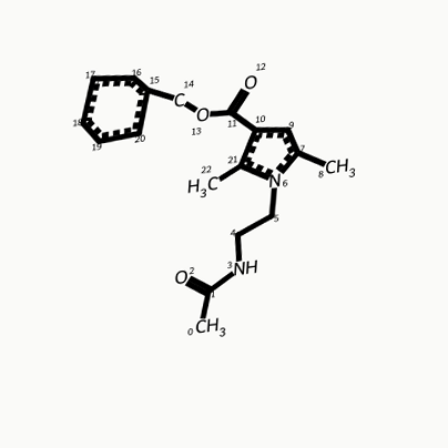 CC(=O)NCCn1c(C)cc(C(=O)OCc2ccccc2)c1C